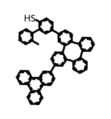 Cc1ccccc1-c1cc(-c2ccc3c(c2)-c2ccc(-c4ccc5c6ccccc6c6ccccc6c5c4)cc2-c2ccccc2-c2ccccc2-3)ccc1S